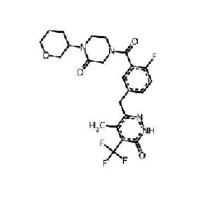 Cc1c(Cc2ccc(F)c(C(=O)N3CCN(C4CCCOC4)C(=O)C3)c2)n[nH]c(=O)c1C(F)(F)F